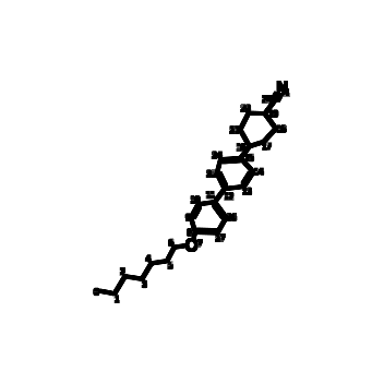 CCCCCCCOc1ccc(-c2ccc(C3CCC(C#N)CC3)cc2)cc1